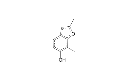 Cc1cc2ccc(O)c(C)c2o1